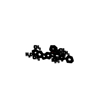 [CH2]=[Zr]([CH2]C)([C]1=C(C)C(c2ccccc2)=CC1C)([C]1=C(C)c2cc3c(cc2C1(C)C)Cc1cc2c(cc1-3)C(C)=CC2(C)C)[c]1ccccc1